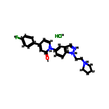 Cl.O=c1cc(-c2ccc(F)cc2)ccn1-c1ccc2c(cnn2CCN2CCCC2)c1